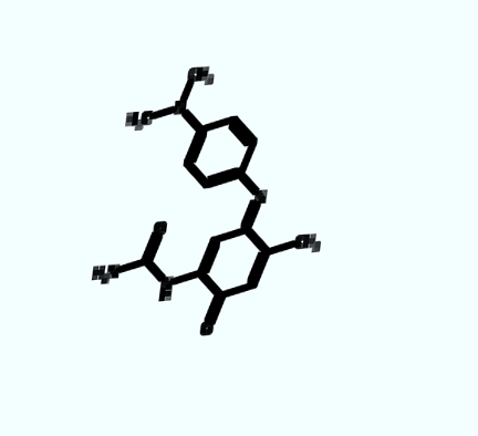 CC1=CC(=O)C(NC(N)=O)=CC1=Nc1ccc(N(C)C)cc1